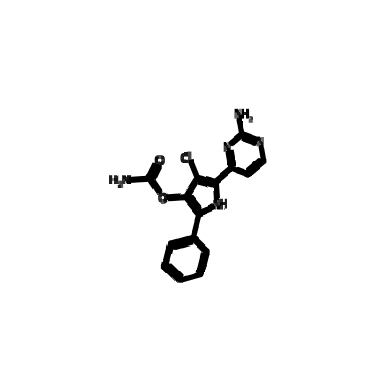 NC(=O)Oc1c(-c2ccccc2)[nH]c(-c2ccnc(N)n2)c1Cl